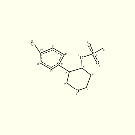 CS(=O)(=O)OC1CCOCC1c1ccc(Cl)cc1